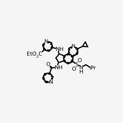 CCOC(=O)c1cncc(NC2CC(NC(=O)c3cccnc3)c3cc(S(=O)(=O)NCC(C)C)c4cc(C5CC5)ncc4c32)c1